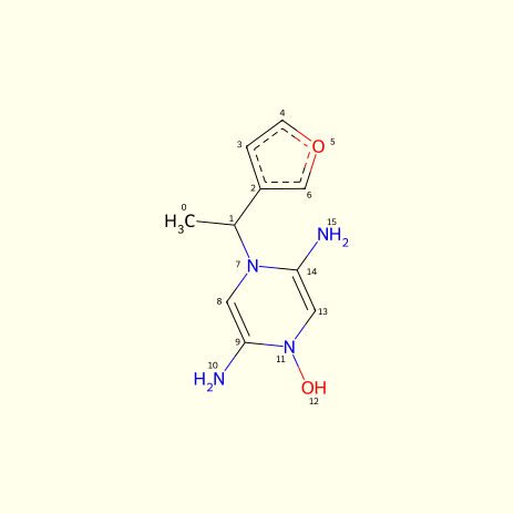 CC(c1ccoc1)N1C=C(N)N(O)C=C1N